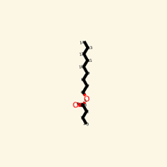 [CH2]CCC(=O)OCCCCCCCCC